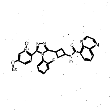 CCOc1ccc(-c2nnc(C3CC(NC(=O)c4cccc5nccnc45)C3)n2-c2ccccc2F)[n+]([O-])c1